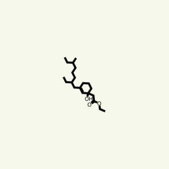 CCOC(=O)CC1(O)C=C(CC(CC)CCCC(C)CC)CCC1